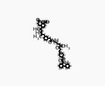 CC(Cc1cccc(CC(=O)NCCCCN(C)C(=O)CCN2CCC(OC(=O)Nc3ccccc3-c3ccccc3)CC2)c1)NC[C@H](O)c1ccc(N=O)c2[nH]c(=O)ccc12